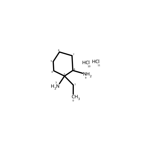 CCC1(N)CCCCC1N.Cl.Cl